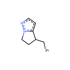 CC(C)CC1CCn2nccc21